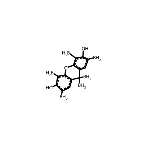 Bc1cc2c(c(B)c1O)Oc1c(cc(B)c(O)c1B)C2(B)B